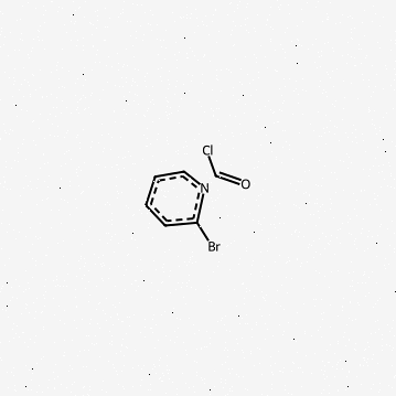 Brc1ccccn1.O=CCl